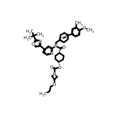 CCCOC1CN(C(=O)O[C@H]2CC[C@H](C(=O)N(CC34CCC(c5ccc(OC)c(C)c5)(CC3)CC4)c3cc(-c4coc(C(C)(C)C)n4)ccn3)CC2)C1